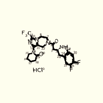 Cl.N[C@@H](CC(=O)N1CCn2c(C(F)(F)F)nc(N3CCCCC3=O)c2C1)Cc1cc(F)c(F)cc1F